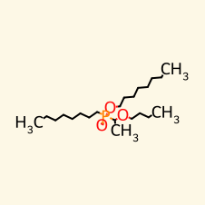 CCCCCCCCOP(=O)(CCCCCCCC)C(C)OCCCC